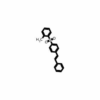 Cc1ccccc1S(=O)(=O)c1ccc(C=Cc2ccccc2)cc1